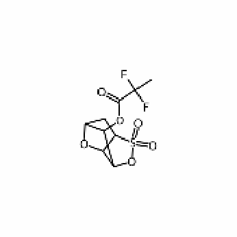 CC(F)(F)C(=O)OC1C2CC3C(O2)C1OS3(=O)=O